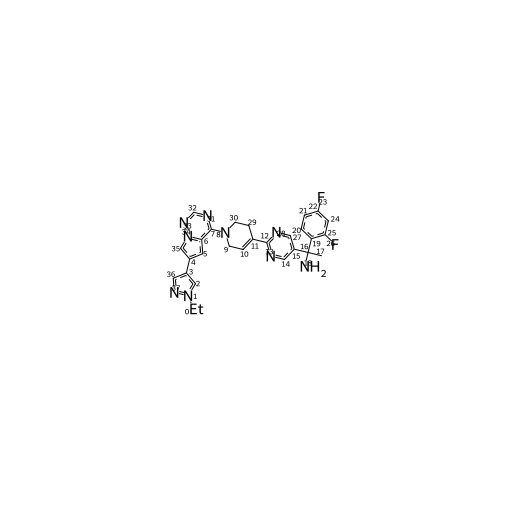 CCn1cc(-c2cc3c(N4CC=C(c5ncc(C(C)(N)c6ccc(F)cc6F)cn5)CC4)ncnn3c2)cn1